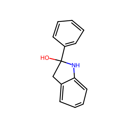 OC1(c2ccccc2)Cc2ccccc2N1